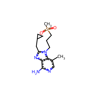 Cc1cnc(N)c2nc(CC3CC3)n(CCCS(C)(=O)=O)c12